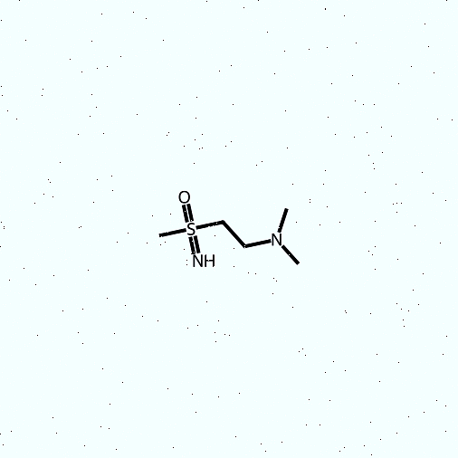 CN(C)CCS(C)(=N)=O